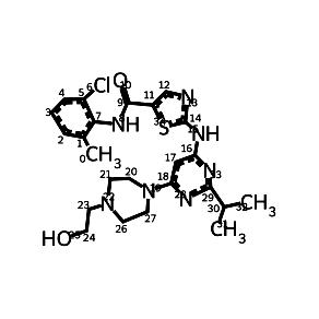 Cc1cccc(Cl)c1NC(=O)c1cnc(Nc2cc(N3CCN(CCO)CC3)nc(C(C)C)n2)s1